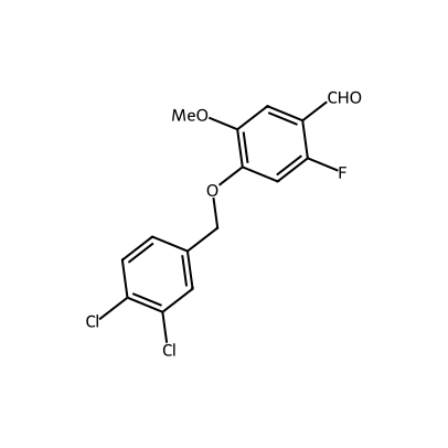 COc1cc(C=O)c(F)cc1OCc1ccc(Cl)c(Cl)c1